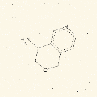 NC1COCc2ccncc21